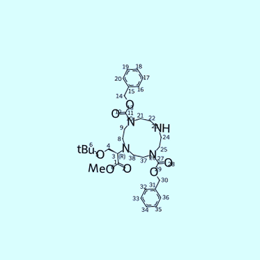 COC(=O)[C@@H](COC(C)(C)C)N1CCN(C(=O)OCc2ccccc2)CCNCCN(C(=O)OCc2ccccc2)CC1